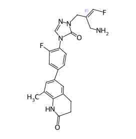 Cc1cc(-c2ccc(-n3cnn(C/C(=C/F)CN)c3=O)c(F)c2)cc2c1NC(=O)CC2